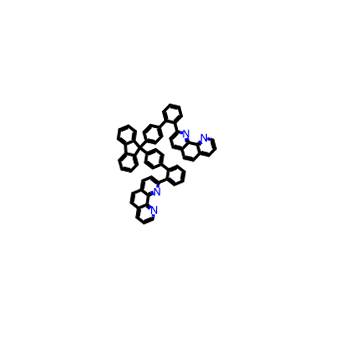 c1ccc(-c2ccc3ccc4cccnc4c3n2)c(-c2ccc(C3(c4ccc(-c5ccccc5-c5ccc6ccc7cccnc7c6n5)cc4)c4ccccc4-c4ccccc43)cc2)c1